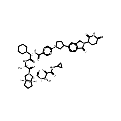 CCC[C@@H](NC(=O)[C@@H]1[C@H]2CCC[C@H]2CN1C(=O)[C@@H](NC(=O)[C@@H](NC(=O)c1cnc([C@H]2CCC(c3ccc4c(c3)CN(C3CCC(=O)NC3=O)C4=O)C2)cn1)C1CCCCC1)C(C)(C)C)C(=O)C(=O)NC1CC1